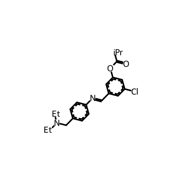 CCN(CC)Cc1ccc(N=Cc2cc(Cl)cc(OC(=O)C(C)C)c2)cc1